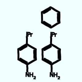 CC(C)c1ccc(N)cc1.CC(C)c1ccc(N)cc1.c1ccccc1